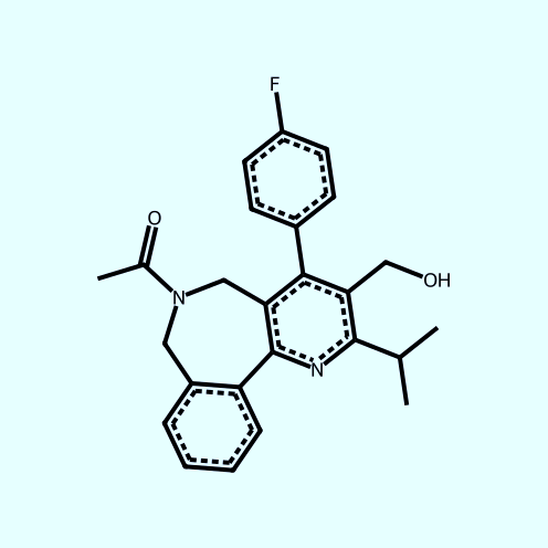 CC(=O)N1Cc2ccccc2-c2nc(C(C)C)c(CO)c(-c3ccc(F)cc3)c2C1